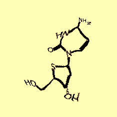 NC1C=CN([C@H]2C[C@H](O)[C@@H](CO)S2)C(=O)N1